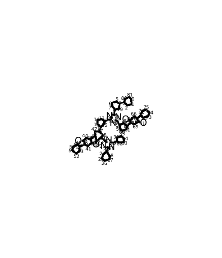 c1ccc(-c2cccc(-c3nc(-c4cccc(-c5cc(-c6nc(-c7ccccc7)nc(-c7ccccc7)n6)c6oc7cc8c(cc7c6c5)oc5ccccc58)c4)nc(-c4cccc5c4oc4cc6c(cc45)oc4ccccc46)n3)c2)cc1